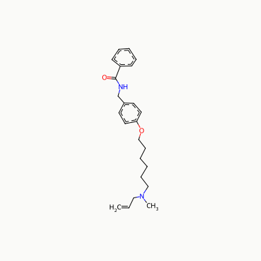 C=CCN(C)CCCCCCOc1ccc(CNC(=O)c2ccccc2)cc1